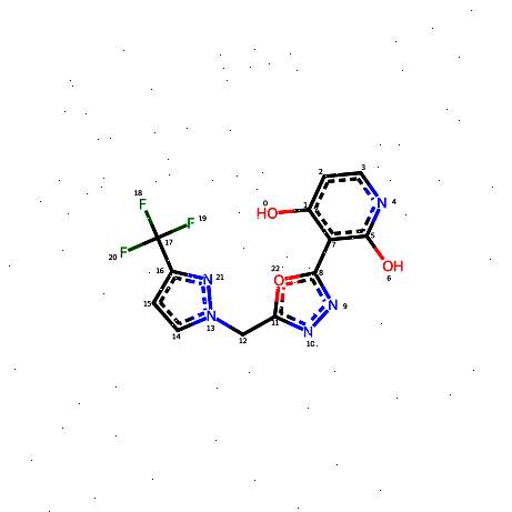 Oc1ccnc(O)c1-c1nnc(Cn2ccc(C(F)(F)F)n2)o1